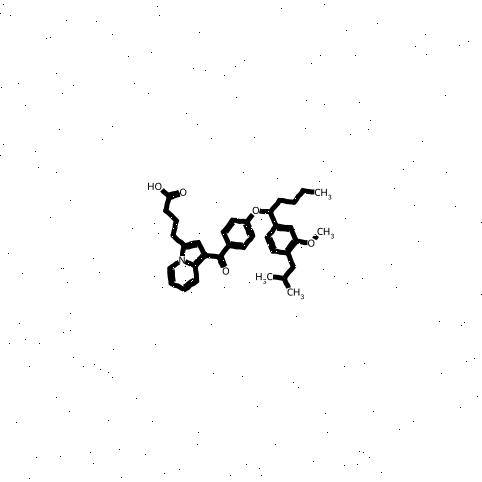 CCCCC(Oc1ccc(C(=O)c2cc(CCCC(=O)O)n3ccccc23)cc1)c1ccc(CC(C)C)c(OC)c1